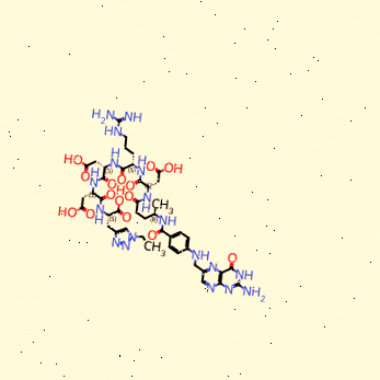 CCn1cc(C[C@H](NC(=O)[C@H](CC(=O)O)NC(=O)[C@H](CC(=O)O)NC(=O)[C@H](CCCNC(=N)N)NC(=O)[C@H](CC(=O)O)NC(=O)CC[C@@H](C)NC(=O)c2ccc(NCc3cnc4nc(N)[nH]c(=O)c4n3)cc2)C(=O)O)nn1